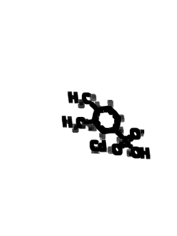 Cc1ccc(S(=O)(=O)O)cc1C.[Cd]